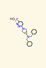 O=C(O)c1ccc(N2CC3C(C2)C3N(Cc2ccccc2)Cc2ccccc2)nn1